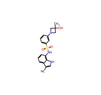 CC1(O)CN(c2cccc(S(=O)(=O)Nc3cccc4c(C#N)c[nH]c34)c2)C1